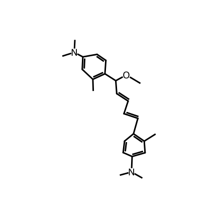 COC(C=CC=Cc1ccc(N(C)C)cc1C)c1ccc(N(C)C)cc1C